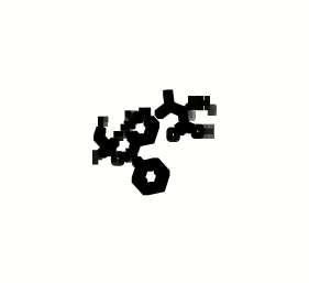 CC(C)[C@H](N)C(=O)O.FCC(F)(F)ON(c1ccccc1)c1ccnnn1